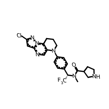 CN(C(=O)C1CCNC1)[C@@H](c1ccc(N2CCCc3c2cnc2cc(Cl)nn32)cc1)C(F)(F)F